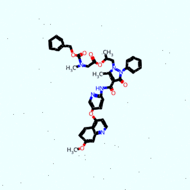 COc1ccc2c(Oc3ccc(NC(=O)c4c(C)n(CC(C)OC(=O)CN(C)C(=O)OCc5ccccc5)n(-c5ccccc5)c4=O)nc3)ccnc2c1